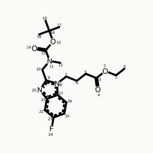 CCOC(=O)CCCn1c(CN(C)C(=O)OC(C)(C)C)nc2cc(F)ccc21